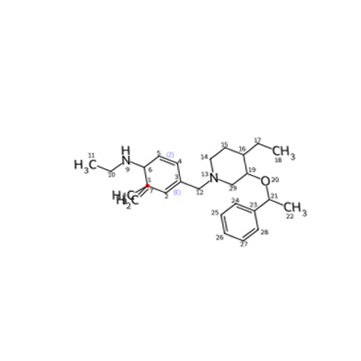 C=C/C=C(\C=C/C(CC)NCC)CN1CCC(CC)C(OC(C)c2ccccc2)C1